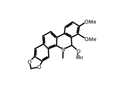 CCC(C)OC1c2c(ccc(OC)c2OC)-c2ccc3cc4c(cc3c2N1C)OCO4